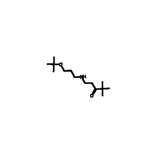 CC(C)(C)OCCCNCCC(=O)C(C)(C)C